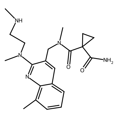 CNCCN(C)c1nc2c(C)cccc2cc1CN(C)C(=O)C1(C(N)=O)CC1